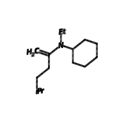 C=C(CCC(C)C)N(CC)C1CCCCC1